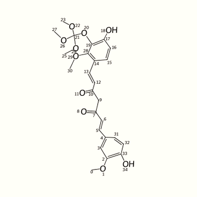 COc1cc(C=CC(=O)CC(=O)C=Cc2ccc(O)c(OC(OC)(OC)OC)c2OC)ccc1O